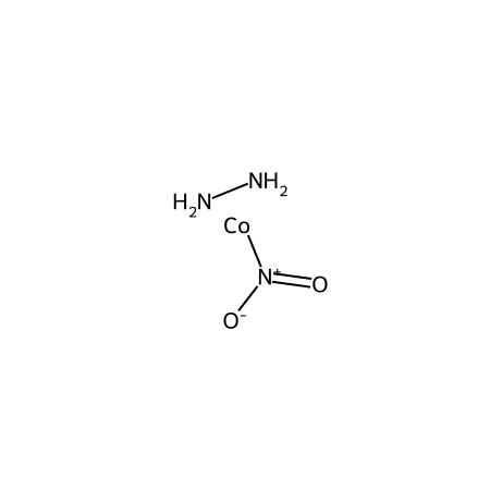 NN.O=[N+]([O-])[Co]